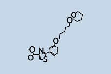 COC(=O)c1csc(-c2cccc(OCCCCCOC3CCCCO3)c2)n1